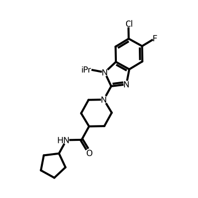 CC(C)n1c(N2CCC(C(=O)NC3CCCC3)CC2)nc2cc(F)c(Cl)cc21